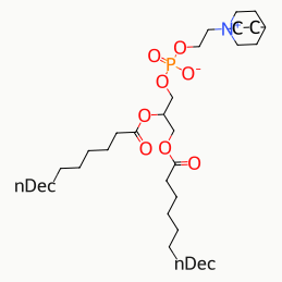 CCCCCCCCCCCCCCCC(=O)OCC(COP(=O)([O-])OCC[N+]12CCC(CC1)CC2)OC(=O)CCCCCCCCCCCCCCC